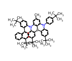 Cc1cc2c3c(c1)N(c1ccc(C(C)(C)C)cc1-c1ccc(C(C)(C)C)c4ccccc14)c1ccc(C(C)(C)C)cc1B3c1cc(C(C)(C)C)ccc1N2c1ccc(C(C)(C)C)cc1